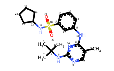 Cc1cnc(NC(C)(C)C)nc1Nc1cccc(S(=O)(=O)NC2CCCC2)c1